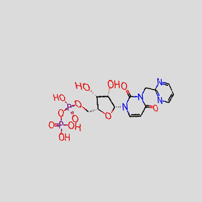 O=c1ccn([C@@H]2O[C@H](COP(=O)(O)OP(=O)(O)O)[C@H](O)[C@@H]2O)c(=O)n1Cc1ncccn1